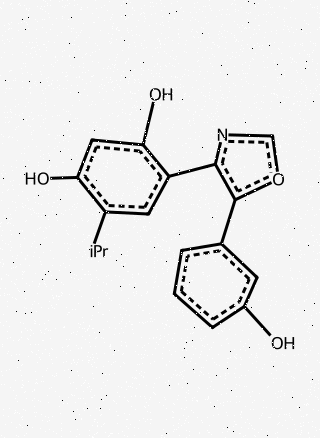 CC(C)c1cc(-c2ncoc2-c2cccc(O)c2)c(O)cc1O